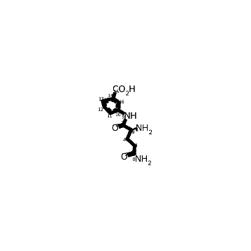 NC(=O)CC[C@H](N)C(=O)Nc1cccc(C(=O)O)c1